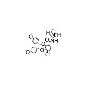 COc1ccc(COc2c(Cl)ccc(C(=O)N[C@H]3C[C@H]4CC[C@@H](C3)N4C)c2OCc2ccc(OC)cc2)cc1